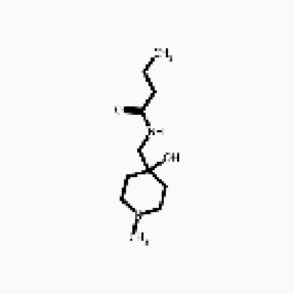 CCCC(=O)NCC1(O)CCN(C)CC1